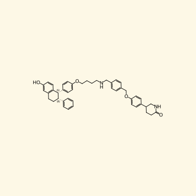 O=C1CCC(c2ccc(OCc3ccc(CNCCCCOc4ccc([C@H]5c6ccc(O)cc6CC[C@H]5c5ccccc5)cc4)cc3)cc2)CN1